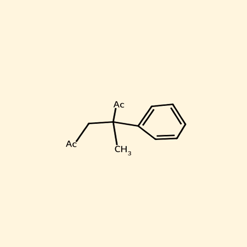 CC(=O)CC(C)(C(C)=O)c1ccccc1